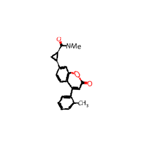 CNC(=O)[C@@H]1C[C@@H]1c1ccc2c(-c3ccccc3C)cc(=O)oc2c1